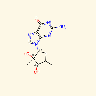 CC1C[C@@H](n2cnc3c(=O)[nH]c(N)nc32)[C@](C)(O)[C@@H]1O